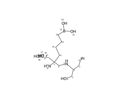 CC(C)CC(CO)NCC(N)(CCCCB(O)O)C(=O)O.Cl.Cl